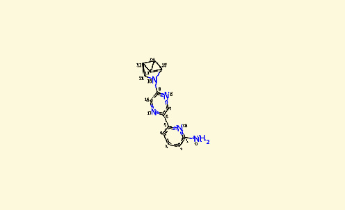 Nc1cccc(-c2cnc(N3CC4C5C4C53)cn2)n1